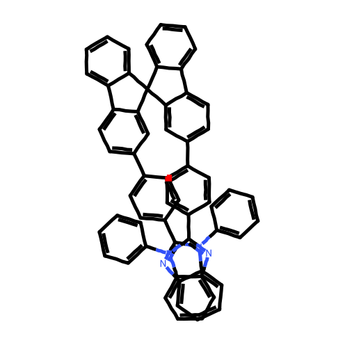 c1ccc(-n2c(-c3ccc(-c4ccc5c(c4)C4(c6ccccc6-5)c5ccccc5-c5ccc(-c6ccc(-c7nc8ccccc8n7-c7ccccc7)cc6)cc54)cc3)nc3ccccc32)cc1